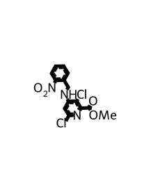 COC(=O)c1nc(Cl)cc(NCc2ccccc2[N+](=O)[O-])c1Cl